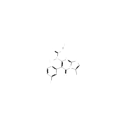 CCN(C(=O)OC(C)(C)C)c1nc2scc(C)n2c(=O)c1-c1cccc(F)c1